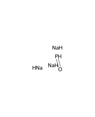 O=P.[NaH].[NaH].[NaH]